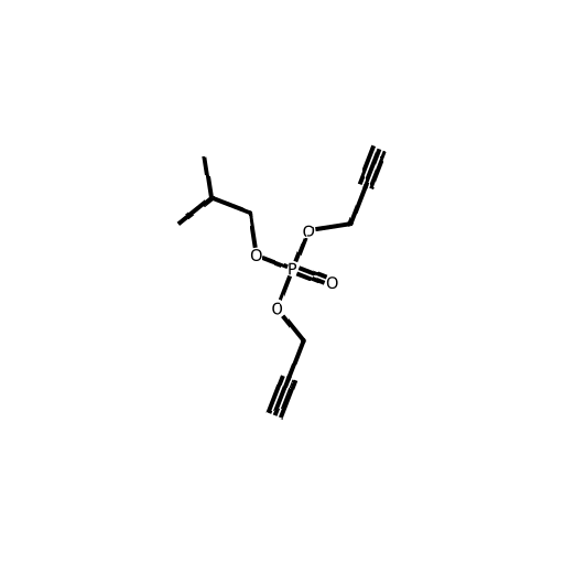 C#CCOP(=O)(OCC#C)OCC(C)C